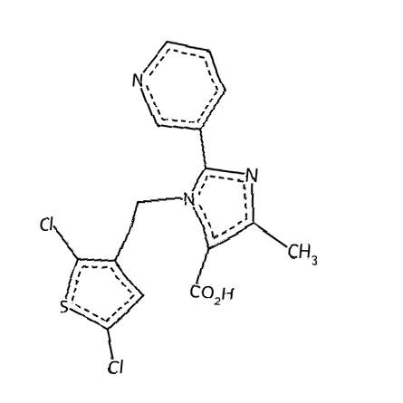 Cc1nc(-c2cccnc2)n(Cc2cc(Cl)sc2Cl)c1C(=O)O